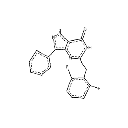 O=c1[nH]c(Cc2c(F)cccc2F)nc2c(-c3cccnc3)n[nH]c12